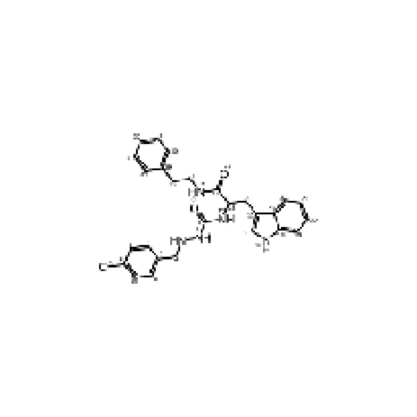 O=C(NNCc1ccc(Cl)cc1)NC(Cc1c[nH]c2ccccc12)C(=O)NCCc1ccccc1